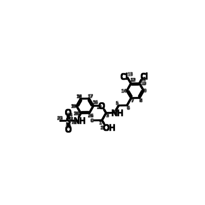 CC(O)C(NCCc1ccc(Cl)c(Cl)c1)Oc1cccc(NS(C)(=O)=O)c1